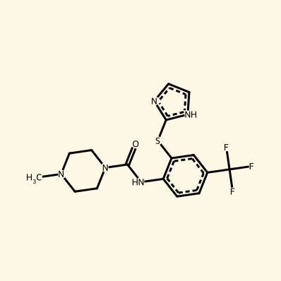 CN1CCN(C(=O)Nc2ccc(C(F)(F)F)cc2Sc2ncc[nH]2)CC1